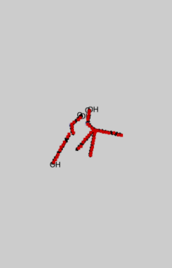 CCCCCC/C=C\CCCCCCCC(=O)O.CCCCCCCCCCCCCCCCCCC(CCCCC/C=C\CCCCCCCC(=O)O)(CCCCCCCCCCCCCCCCCC)CCCCCCCCCCCCCCCCCC.CCCCCCCCCCCCCCCCCCCCCCCO